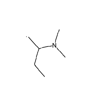 [CH2]C(CC)N(C)C